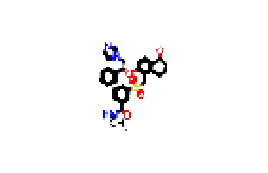 CNC(=O)c1cccc(S(=O)(=O)Cc2c(O[C@H](Cn3ccnc3)c3ccccc3)ccc3c2CCCC3=O)c1